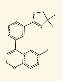 CC1(C)COC(c2cccc(C3=CCOc4ccc(F)cc43)c2)=N1